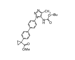 CCC(C)OC(=O)Nc1c(C)nnn1-c1ccc(-c2ccc(C3(C(=O)OC)CC3)cc2)cc1